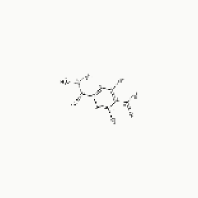 CN(C)C(=O)c1cc(Cl)c(C(=O)Cl)c(Cl)c1